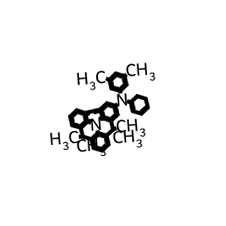 Cc1cc(C)cc(N(C2=CC=CCC2)c2cc3c4c(c2)c2cccc5c2n4-c2c(cccc2C3(C)C)C5(C)C)c1